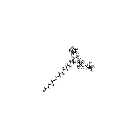 CCCCCCCCCCCCCCCCSC(I)C(CNS(=O)(=O)CCC[N+](C)(C)C)Oc1ccon1